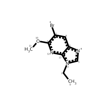 CCn1cnc2cc(Br)c(OC)nc21